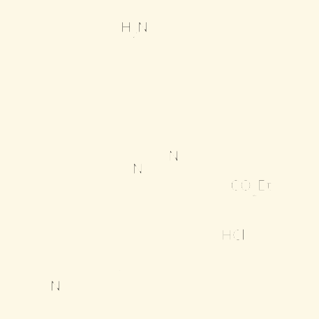 CCOC(=O)c1c2c(nn1CCCN)-c1ccncc1CC2.Cl